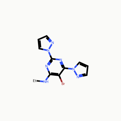 CCNc1nc(-n2cccn2)nc(-n2cccn2)c1Br